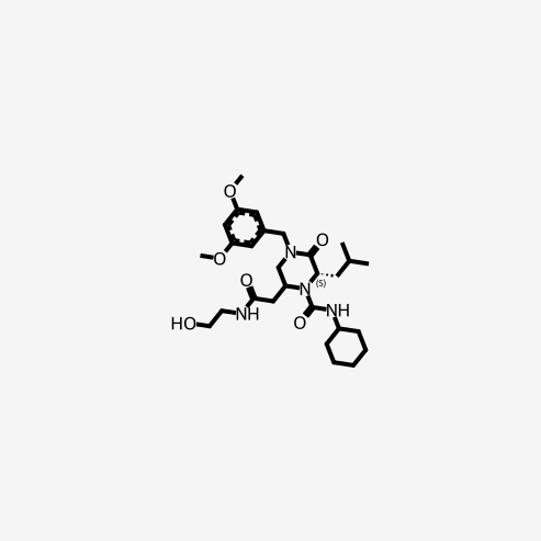 COc1cc(CN2CC(CC(=O)NCCO)N(C(=O)NC3CCCCC3)[C@@H](CC(C)C)C2=O)cc(OC)c1